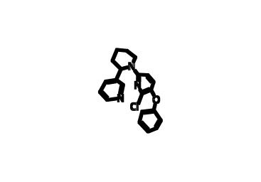 Clc1nc(N2CCCCC2c2cccnc2)ccc1Oc1ccccc1